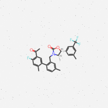 CC(=O)c1cc(-c2ccc(C)cc2CN2C(=O)O[C@H](c3cc(C)cc(C(F)(F)F)c3)[C@@H]2C)c(C)cc1F